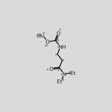 CCN(CC)C(=O)CCNC(=O)OC(C)(C)C